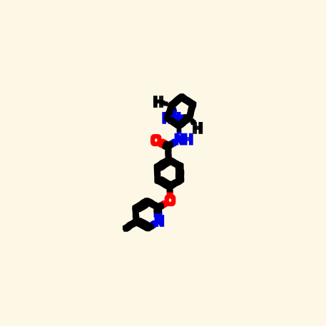 Cc1ccc(Oc2ccc(C(=O)N[C@@H]3C[C@H]4CC[C@@H]3N4)cc2)nc1